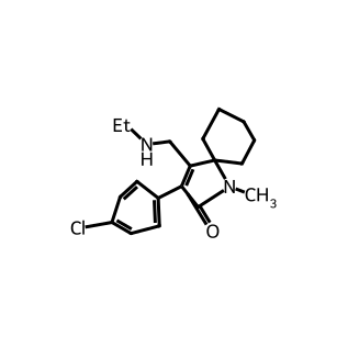 CCNCC1=C(c2ccc(Cl)cc2)C(=O)N(C)C12CCCCC2